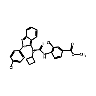 COC(=O)c1ccc(NC(=O)N(c2c3ccccc3nn2-c2ccc(Cl)cc2)C2CCC2)c(Cl)c1